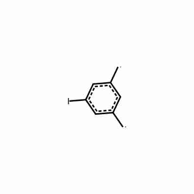 [CH2]c1cc([CH2])cc(I)c1